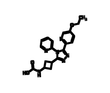 CCOc1ccc(-c2nnc(C3CC(NC(=O)O)C3)n2-c2ccccn2)nc1